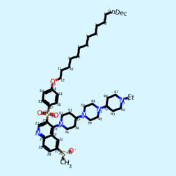 CCCCCCCCCCCCCCCCCCCCCCOc1ccc(S(=O)(=O)c2cnc3ccc([S+](C)[O-])cc3c2N2CCC(N3CCN(C4CCN(CC)CC4)CC3)CC2)cc1